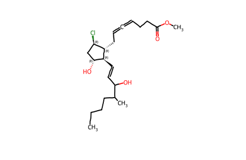 CCCCC(C)C(O)C=C[C@@H]1[C@@H](CC=C=CCCC(=O)OC)[C@H](Cl)C[C@H]1O